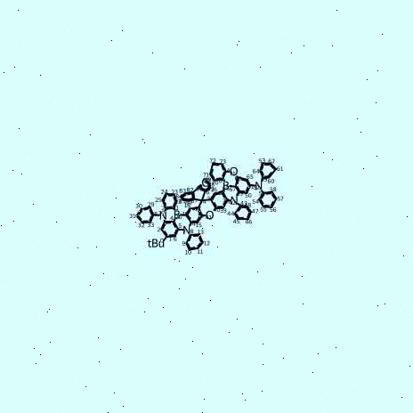 CC(C)(C)c1cc2c3c(c1)N(c1ccccc1)c1cc4c(cc1B3c1ccccc1N2c1ccccc1)C1(c2cc3c(cc2O4)N(c2ccccc2)c2cc(N(c4ccccc4)c4ccccc4)cc4c2B3c2ccccc2O4)c2ccccc2-c2ccccc21